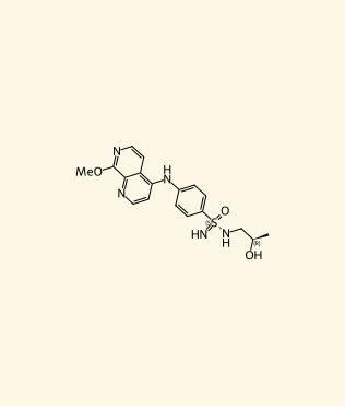 COc1nccc2c(Nc3ccc([S@](=N)(=O)NC[C@@H](C)O)cc3)ccnc12